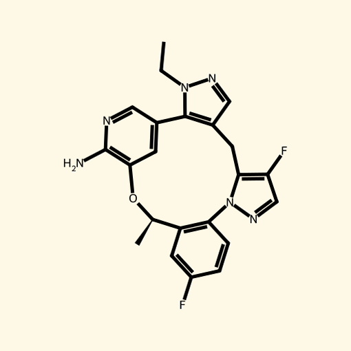 CCn1ncc2c1-c1cnc(N)c(c1)O[C@H](C)c1cc(F)ccc1-n1ncc(F)c1C2